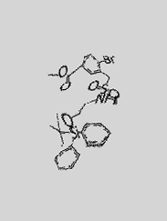 COC(=O)c1ccc(Br)c(CS(=O)(=O)NCCO[Si](c2ccccc2)(c2ccccc2)C(C)(C)C)c1